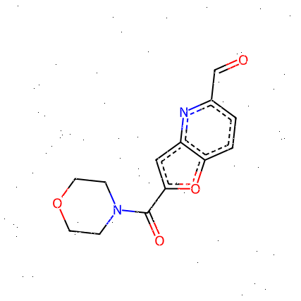 O=Cc1ccc2oc(C(=O)N3CCOCC3)cc2n1